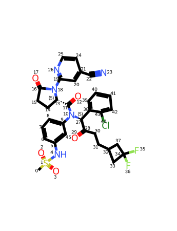 CS(=O)(=O)Nc1cccc(N(C(=O)[C@@H]2CCC(=O)N2c2cc(C#N)ccn2)[C@H](C(=O)CCC2CC(F)(F)C2)c2ccccc2Cl)c1